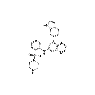 Cn1ccc2ccc(-c3cc(Nc4ccccc4S(=O)(=O)N4CCNCC4)cc4nccnc34)cc21